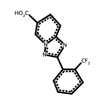 O=C(O)c1ccc2nc(-c3ccccc3C(F)(F)F)nn2c1